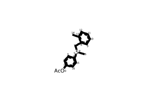 CC(=O)Oc1ccc([S+](C)Cc2ccccc2C)cc1